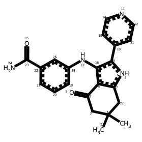 CC1(C)CC(=O)c2c([nH]c(-c3ccncc3)c2Nc2cccc(C(N)=O)c2)C1